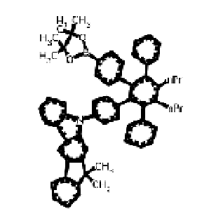 CCCc1c(CCC)c(-c2ccccc2)c(-c2ccc(-n3c4ccccc4c4cc5c(cc43)C(C)(C)c3ccccc3-5)cc2)c(-c2ccc(B3OC(C)(C)C(C)(C)O3)cc2)c1-c1ccccc1